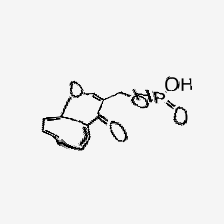 O=c1c(CO[PH](=O)O)coc2ccccc12